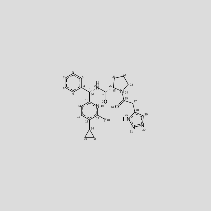 O=C(N[C@@H](c1ccccc1)c1ccc(C2CC2)c(F)n1)[C@@H]1CCCN1C(=O)Cc1cnn[nH]1